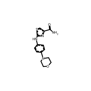 NC(=O)c1csc(Nc2ccc(N3CCOCC3)cc2)n1